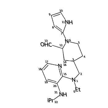 CCN(CC1CCN(c2ccc[nH]2)C(C=O)C1)c1ncccc1NC(C)C